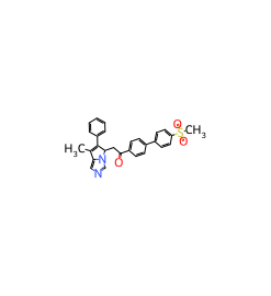 CC1=C(c2ccccc2)C(CC(=O)c2ccc(-c3ccc(S(C)(=O)=O)cc3)cc2)n2cncc21